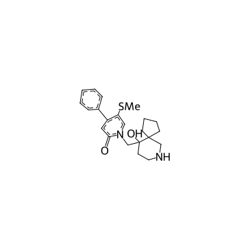 CSc1cn(CC2(O)CCNCC23CCCC3)c(=O)cc1-c1ccccc1